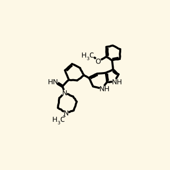 COC1=CCCC=C1c1c[nH]c2c1C=C(C1CC=CC(C(=N)N3CCCN(C)CC3)C1)CN2